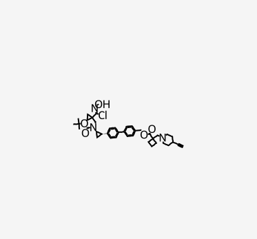 C#CC1CCN(CC2(C(=O)OCc3ccc(-c4ccc([C@@H]5C[C@H]5N(CC5(/C(Cl)=N/O)CC5)C(=O)OC(C)(C)C)cc4)cc3)CCC2)CC1